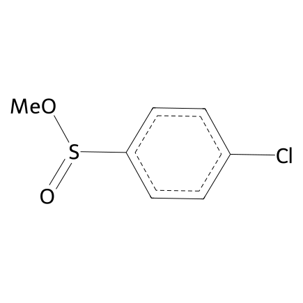 COS(=O)c1ccc(Cl)cc1